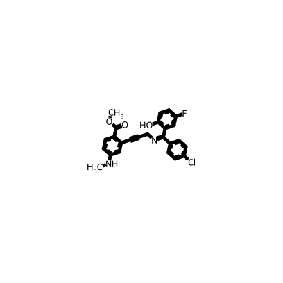 CNc1ccc(C(=O)OC)c(C#CC/N=C(/c2ccc(Cl)cc2)c2cc(F)ccc2O)c1